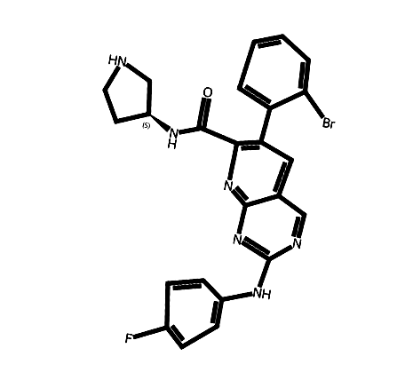 O=C(N[C@H]1CCNC1)c1nc2nc(Nc3ccc(F)cc3)ncc2cc1-c1ccccc1Br